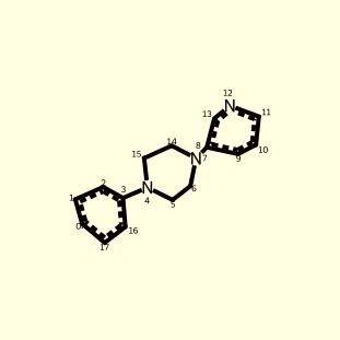 [c]1ccc(N2CCN(c3cccnc3)CC2)cc1